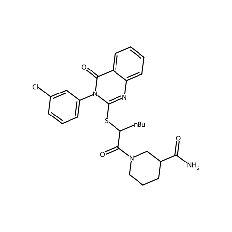 CCCCC(Sc1nc2ccccc2c(=O)n1-c1cccc(Cl)c1)C(=O)N1CCCC(C(N)=O)C1